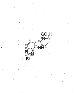 O=C(O)N1CCCC(Nc2cccc3nc(Br)nn23)C1